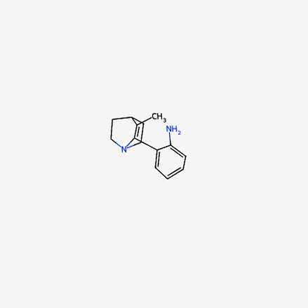 CC1=C(c2ccccc2N)N2CCC1CC2